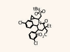 CCC1(CC(=O)O)CC(c2cccc(Cl)c2)C(c2ccc(Cl)cc2)N(C(CS(=O)(=O)C(C)(C)C)C2CC2)C1=O